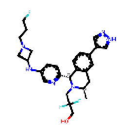 C[C@@H]1Cc2cc(-c3cn[nH]c3)ccc2[C@@H](c2ccc(NC3CN(CCCF)C3)cn2)N1CC(F)(F)CO